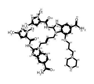 CCn1nc(C)cc1C(=O)Nc1nc2cc(C(N)=O)cnc2n1C/C=C/CN1c2c(cc(C(N)=O)cc2OCCCN2CCOCC2)NC1NC(=O)c1cc(C)nn1CC